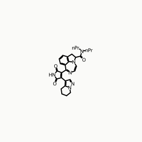 CCCN(CCC)C(=O)C1Cc2cccc3c2N1C=CN=C3C1=C(c2cnn3c2CCCC3)C(=O)NC1=O